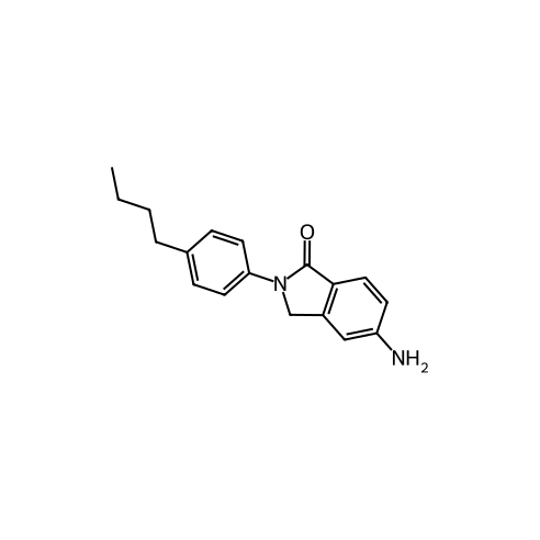 CCCCc1ccc(N2Cc3cc(N)ccc3C2=O)cc1